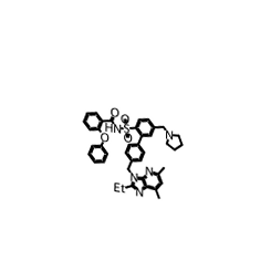 CCc1nc2c(C)cc(C)nc2n1Cc1ccc(-c2cc(CN3CCCC3)ccc2S(=O)(=O)NC(=O)c2ccccc2Oc2ccccc2)cc1